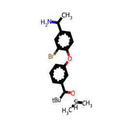 CC(N)c1ccc(Oc2cccc(C(O[SiH](C)C)C(C)(C)C)c2)c(Br)c1